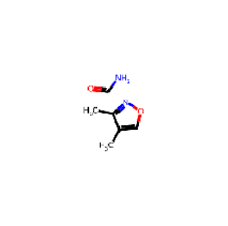 Cc1conc1C.NC=O